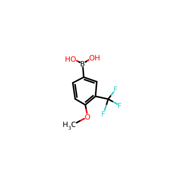 COc1ccc(B(O)O)cc1C(F)(F)F